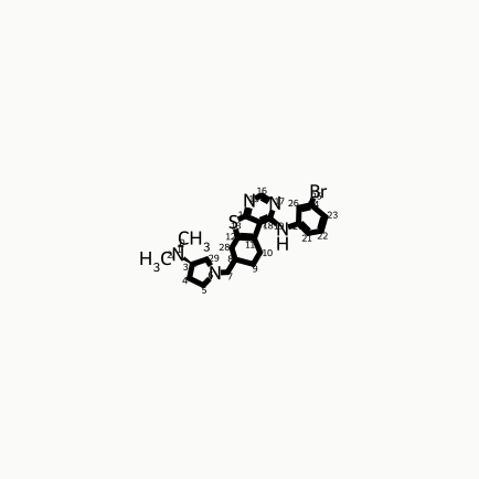 CN(C)[C@@H]1CCN(CC2CCc3c(sc4ncnc(Nc5cccc(Br)c5)c34)C2)C1